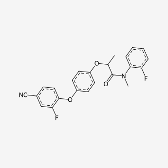 CC(Oc1ccc(Oc2ccc(C#N)cc2F)cc1)C(=O)N(C)c1ccccc1F